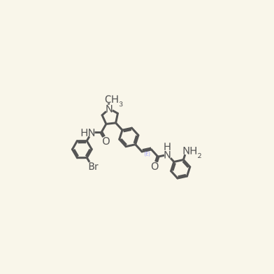 CN1CC(C(=O)Nc2cccc(Br)c2)C(c2ccc(/C=C/C(=O)Nc3ccccc3N)cc2)C1